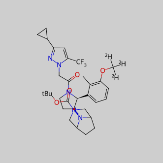 [2H]C([2H])([2H])Oc1cccc([C@H]2[C@@H](N3C4CCC3CN(C(=O)OC(C)(C)C)C4)CCN2C(=O)Cn2nc(C3CC3)cc2C(F)(F)F)c1C